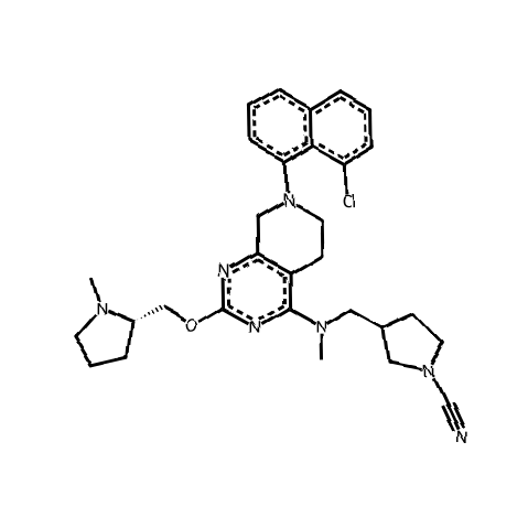 CN(CC1CCN(C#N)C1)c1nc(OC[C@@H]2CCCN2C)nc2c1CCN(c1cccc3cccc(Cl)c13)C2